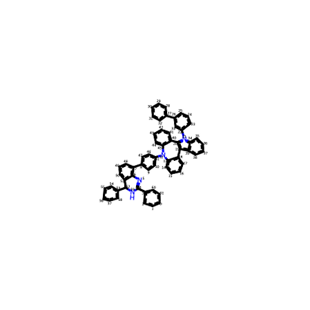 c1ccc(C2=Nc3c(-c4ccc(N5c6ccccc6-c6c(n(-c7cccc(-c8ccccc8)c7)c7ccccc67)-c6ccccc65)cc4)cccc3C(c3ccccc3)N2)cc1